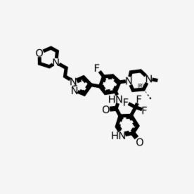 C[C@@H]1CN(c2cc(F)c(-c3cnn(CCN4CCOCC4)c3)cc2NC(=O)c2c[nH]c(=O)cc2C(F)(F)F)CCN1C